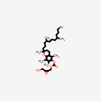 Cc1c(C)c2c(c(C)c1OC(=O)OCC1OC1CO)CCC(C)(CCCC(C)CCCC(C)CCCC(C)C)O2